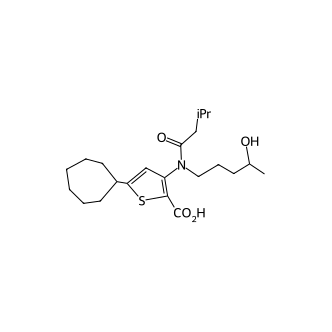 CC(C)CC(=O)N(CCCC(C)O)c1cc(C2CCCCCC2)sc1C(=O)O